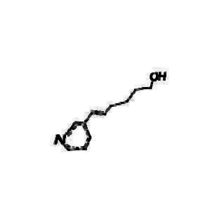 OCCCCC=Cc1cccnc1